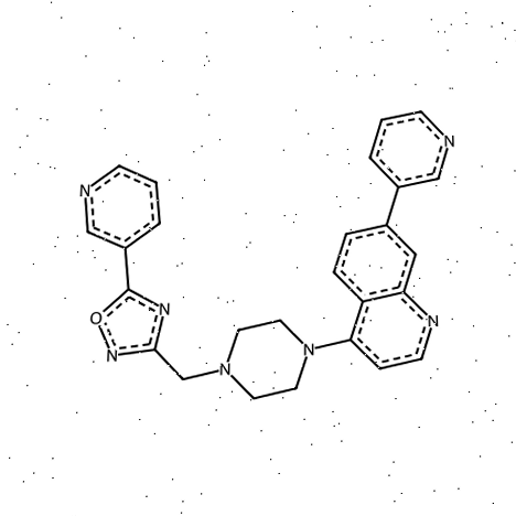 c1cncc(-c2ccc3c(N4CCN(Cc5noc(-c6cccnc6)n5)CC4)ccnc3c2)c1